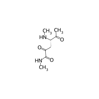 CNC(=O)C(=O)C[C@H](NC)C(C)=O